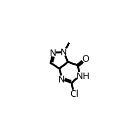 CN1N=CC2N=C(Cl)NC(=O)C21